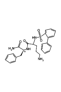 NCCCC(NS(=O)(=O)c1ccccc1-c1ccccc1)C(=O)N[C@@H](Cc1ccccc1)C(N)=O